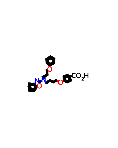 O=C(O)c1ccc(OCCCCN(CCCOc2ccccc2)c2nc3ccccc3o2)cc1